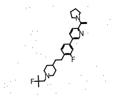 C=C(c1ccc(-c2ccc(CCC3CCN(CC(C)(C)F)CC3)c(F)c2)cn1)N1CCCC1